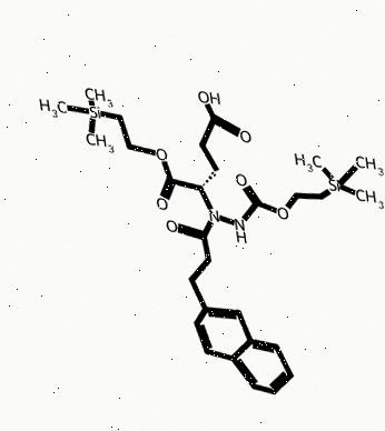 C[Si](C)(C)CCOC(=O)NN(C(=O)CCc1ccc2ccccc2c1)[C@@H](CCC(=O)O)C(=O)OCC[Si](C)(C)C